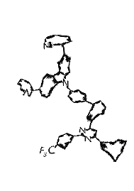 FC(F)(F)c1ccc(-c2nc(-c3ccccc3)cc(-c3cccc(-c4ccc(-n5c6ccc(-c7ccccn7)cc6c6cc(-c7ccccn7)ccc65)cc4)c3)n2)cc1